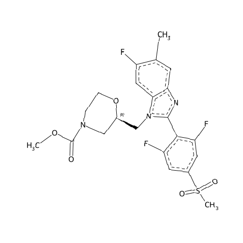 COC(=O)N1CCO[C@@H](Cn2c(-c3c(F)cc(S(C)(=O)=O)cc3F)nc3cc(C)c(F)cc32)C1